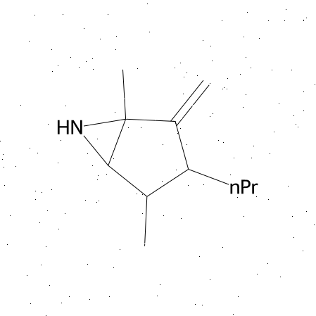 C=C1C(CCC)C(C)C2NC12C